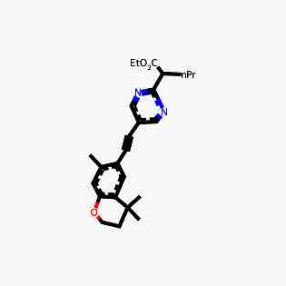 CCCC(C(=O)OCC)c1ncc(C#Cc2cc3c(cc2C)OCCC3(C)C)cn1